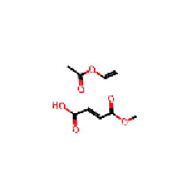 C=COC(C)=O.COC(=O)C=CC(=O)O